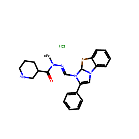 CCCN(N=CN1C(c2ccccc2)=CN2c3ccccc3SC12)C(=O)C1CCCNC1.Cl